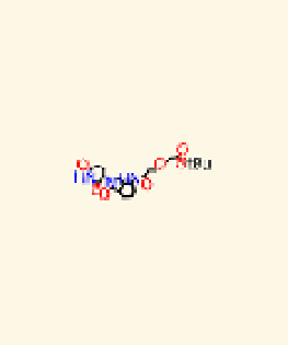 CC(C)(C)OC(=O)CCOCCC(=O)Nc1cccc2c1CN(C1CCC(=O)NC1=O)C2=O